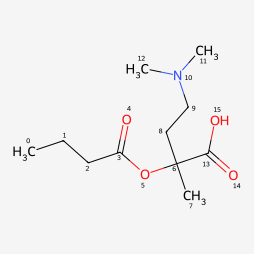 CCCC(=O)OC(C)(CCN(C)C)C(=O)O